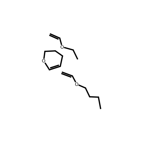 C1=COCCC1.C=COCC.C=COCCCC